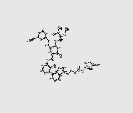 N#Cc1cncc(COc2cc(OCc3cccc(-c4cccc5c4cnn5CCCNC[C@@H]4CCC(=O)N4)c3Br)c(Cl)cc2CN[C@@H](CO)C(=O)O)c1